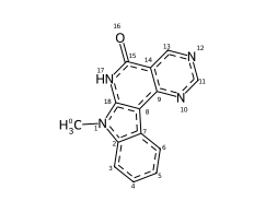 Cn1c2ccccc2c2c3ncncc3c(=O)[nH]c21